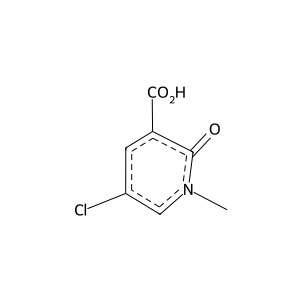 Cn1cc(Cl)cc(C(=O)O)c1=O